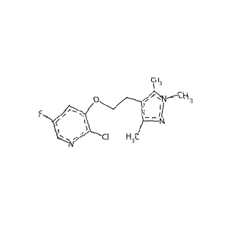 Cc1nn(C)c(C)c1CCOc1cc(F)cnc1Cl